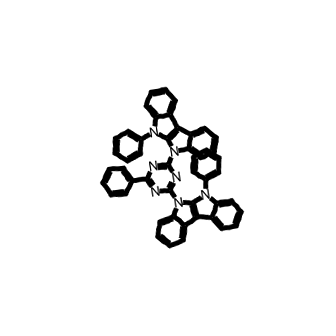 c1ccc(-c2nc(-n3c4ccccc4c4c5ccccc5n(-c5ccccc5)c43)nc(-n3c4ccccc4c4c5ccccc5n(-c5ccccc5)c43)n2)cc1